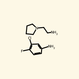 NCCN1CCCC1.Nc1ccc(F)c(Cl)c1